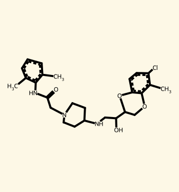 Cc1cccc(C)c1NC(=O)CN1CCC(NCC(O)C2COc3c(ccc(Cl)c3C)O2)CC1